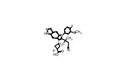 COc1cc(-n2c(C(C)(C)CC#N)c([C@H]3C[C@](F)(C(=O)O)C3)c3cc4[nH]ncc4cc32)ccc1F